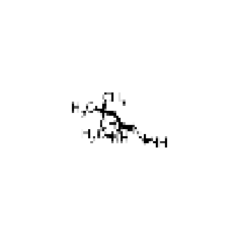 CN/C(CC(C)(C)C)=N\N=N